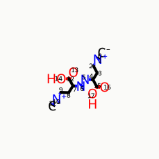 [C-]#[N+]CCC(N=NC(CC[N+]#[C-])C(=O)O)C(=O)O